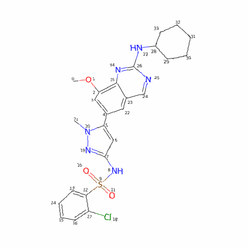 COc1cc(-c2cc(NS(=O)(=O)c3ccccc3Cl)nn2C)cc2cnc(NC3CCCCC3)nc12